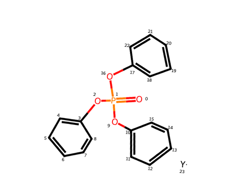 O=P(Oc1ccccc1)(Oc1ccccc1)Oc1ccccc1.[Y]